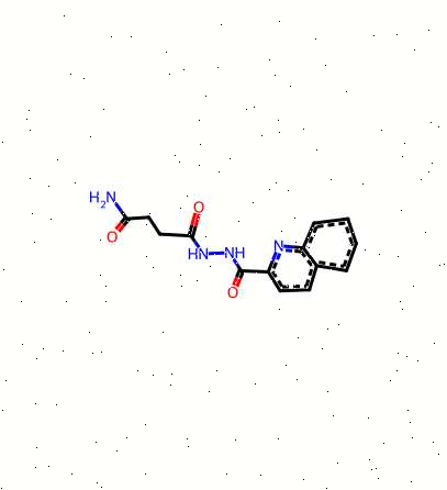 NC(=O)CCC(=O)NNC(=O)c1ccc2ccccc2n1